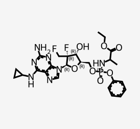 CCOC(=O)C(C)N[P@](=O)(OC[C@H]1O[C@@H](n2cnc3c(NC4CC4)nc(N)nc32)[C@@](F)(CF)[C@@H]1O)Oc1ccccc1